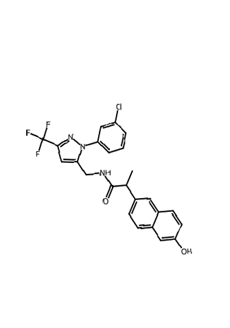 CC(C(=O)NCc1cc(C(F)(F)F)nn1-c1cccc(Cl)c1)c1ccc2cc(O)ccc2c1